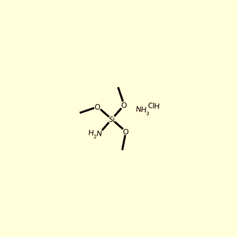 CO[Si](N)(OC)OC.Cl.N